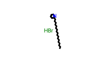 Br.CCCCCCCCCCCCCCCCCCc1ccccn1